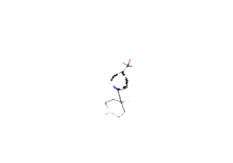 CC(C)(O)c1ccc(C2(O)CCN(C(C)(C)C)CC2)nc1